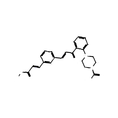 CC(=O)N1CCN(c2ccccc2C(=O)/C=C/c2cccc(/C=C/C(=O)NO)c2)CC1